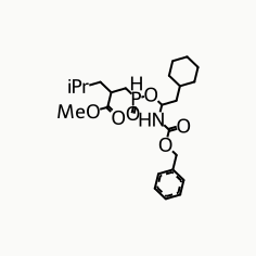 COC(=O)C(CC(C)C)C[PH](=O)OC(CC1CCCCC1)NC(=O)OCc1ccccc1